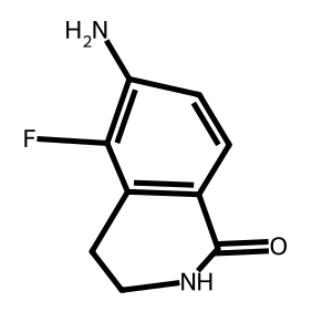 Nc1ccc2c(c1F)CCNC2=O